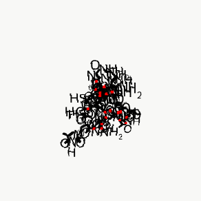 COCCOC1[C@@H](OP(=O)(O)OC[C@]23O[C@@H](n4cnc5c(=O)[nH]c(N)nc54)C(O[C@H]2C)[C@H]3OP(=O)(S)OC[C@H]2O[C@@H](n3cc(C)c(=O)[nH]c3=O)C[C@H]2OP(=O)(S)OC[C@H]2O[C@@H](n3cc(C)c(=O)[nH]c3=O)C[C@H]2OP(=O)(S)OC)[C@@H](COP(=O)(O)O[C@@H]2C3O[C@@H](C)[C@]2(COP(=O)(S)O[C@@H]2C(OCCOC)[C@H](n4cnc5c(N)ncnc54)O[C@@H]2CO)O[C@H]3n2cnc3c2N=C(N)NC3N)O[C@H]1n1cc(C)c(=O)[nH]c1=O